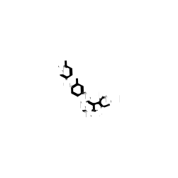 Cc1ccc(Oc2ccc(Nc3ncnc4sc5c(c34)CNC5)cc2C)cn1